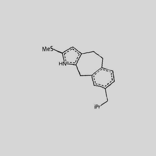 CSc1cc2c([nH]1)Cc1cc(CC(C)C)ccc1CC2